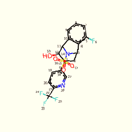 O=C1CC2c3c(F)cccc3C([C@@H]1O)N2S(=O)(=O)c1ccc(C(F)(F)F)nc1